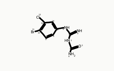 N=C(NC(N)=O)Nc1ccc(Br)c(Cl)c1